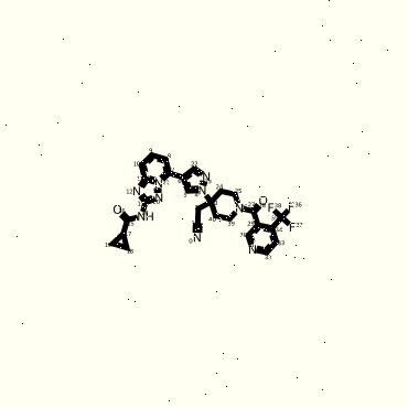 N#CCC1(n2cc(-c3cccc4nc(NC(=O)C5CC5)nn34)cn2)CCN(C(=O)c2cnccc2C(F)(F)F)CC1